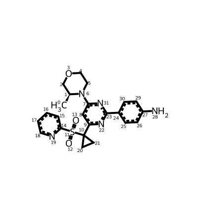 C[C@H]1COCCN1c1cc(C2(S(=O)(=O)c3ccccn3)CC2)nc(-c2ccc(N)cc2)n1